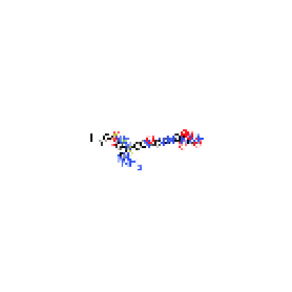 CCCS(=O)(=O)Nc1cccc(-c2nc(C3CCC4(CC3)CCN(C(=O)CC3CCN(C5CCN(c6ccc7c(c6)C(=O)N([C@@H]6CCC(=O)NC6=O)C7=O)CC5)CC3)CC4)sc2-c2ccnc(N)n2)c1F